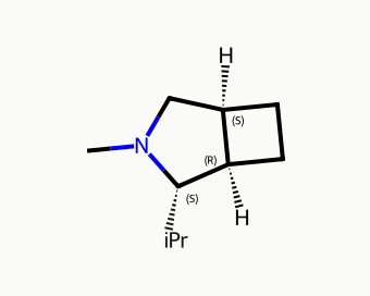 CC(C)[C@H]1[C@@H]2CC[C@@H]2CN1C